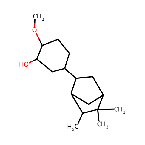 COC1CCC(C2CC3CC2C(C)C3(C)C)CC1O